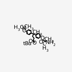 CN(C)Oc1ccc(C(C)(CCC(=O)OC(C)(C)C)c2ccc(OC(=O)C(C)(C)N)cc2)cc1